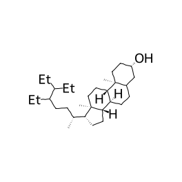 CCC(CC)C(CC)CC[C@@H](C)[C@H]1CC[C@H]2[C@@H]3CCC4C[C@@H](O)CC[C@]4(C)[C@H]3CC[C@]12C